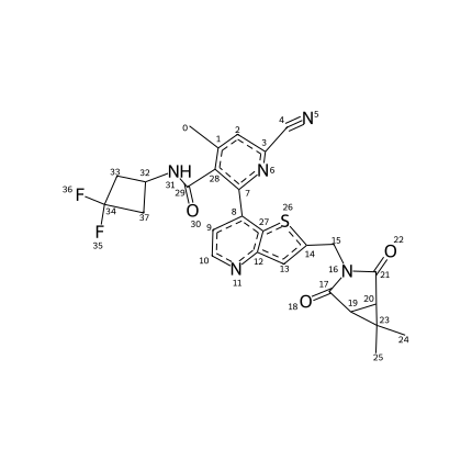 Cc1cc(C#N)nc(-c2ccnc3cc(CN4C(=O)C5C(C4=O)C5(C)C)sc23)c1C(=O)NC1CC(F)(F)C1